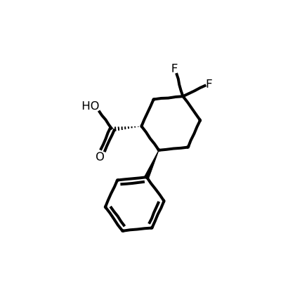 O=C(O)[C@@H]1CC(F)(F)CC[C@H]1c1ccccc1